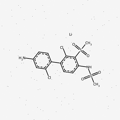 CS(=O)(=O)Nc1ccc(-c2ccc(N)cc2Cl)c(Cl)c1S(C)(=O)=O.[Li]